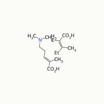 CC(=CCCN(C)C)C(=O)O.CCC(C)=C(C)C(=O)O